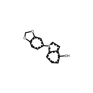 Oc1cccc2c1ccn2-c1ccc2c(c1)OCO2